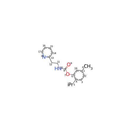 Cc1ccc(C(C)C)c(OC(=O)NCCc2ccccn2)c1